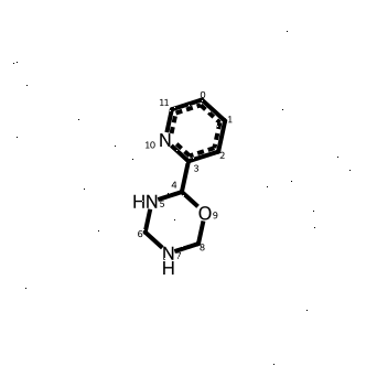 c1ccc(C2NCNCO2)nc1